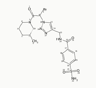 CC1CCCN(C(=O)C(C(C)C)n2cc(CNC(=O)c3ccc(S(N)(=O)=O)cc3)nn2)C1